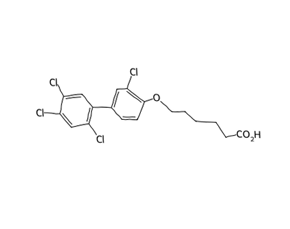 O=C(O)CCCCCOc1ccc(-c2cc(Cl)c(Cl)cc2Cl)cc1Cl